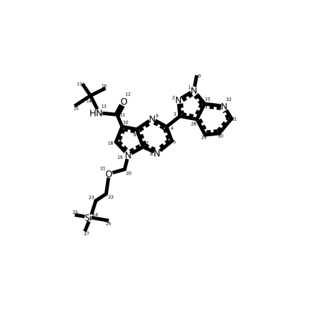 Cn1nc(-c2cnc3c(n2)c(C(=O)NC(C)(C)C)cn3COCC[Si](C)(C)C)c2cccnc21